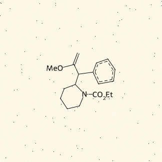 C=C(OC)C(c1ccccc1)C1CCCCN1C(=O)OCC